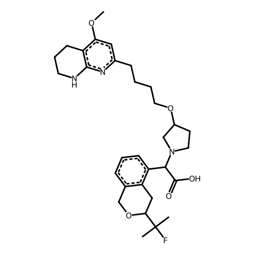 COc1cc(CCCCOC2CCN(C(C(=O)O)c3cccc4c3CC(C(C)(C)F)OC4)C2)nc2c1CCCN2